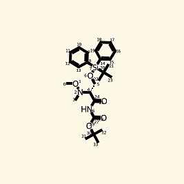 CON(C)[C@H](CO[Si](c1ccccc1)(c1ccccc1)C(C)(C)C)C(=O)NC(=O)OC(C)(C)C